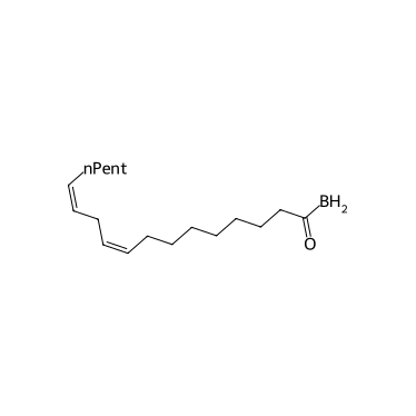 BC(=O)CCCCCCC/C=C\C/C=C\CCCCC